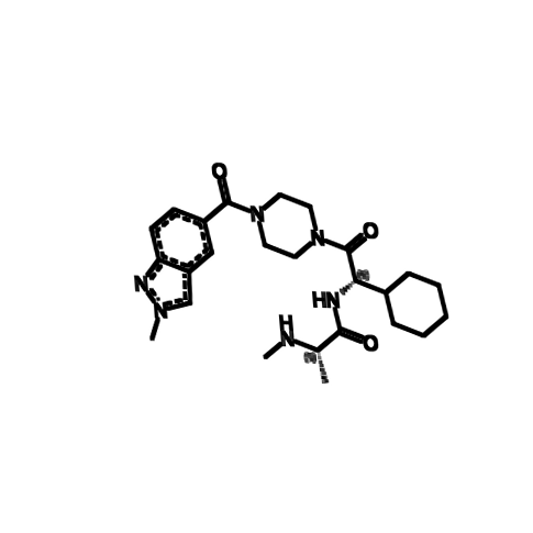 CN[C@@H](C)C(=O)N[C@H](C(=O)N1CCN(C(=O)c2ccc3nn(C)cc3c2)CC1)C1CCCCC1